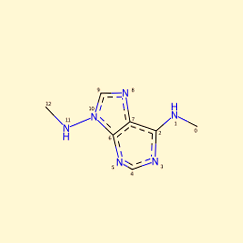 CNc1ncnc2c1ncn2NC